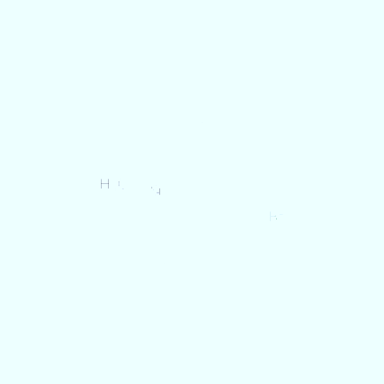 C[Si](c1ccc(Br)cc1)(c1ccc2ccccc2c1)c1ccc2ccccc2c1